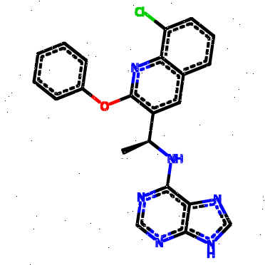 C[C@H](Nc1ncnc2[nH]cnc12)c1cc2cccc(Cl)c2nc1Oc1ccccc1